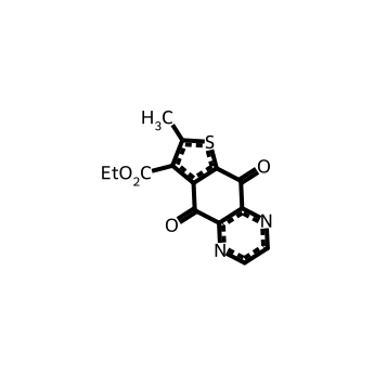 CCOC(=O)c1c(C)sc2c1C(=O)c1nccnc1C2=O